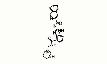 O=C(Nc1nc2c(C(=O)NC[C@H]3CCCNC3)cccc2[nH]1)c1cc2ccccc2cn1